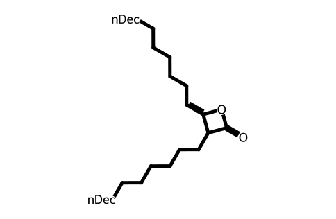 CCCCCCCCCCCCCCCC=C1OC(=O)C1CCCCCCCCCCCCCCCC